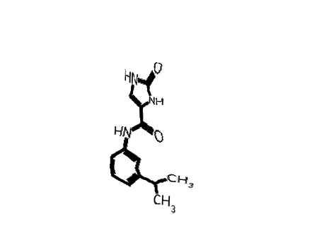 CC(C)c1cccc(NC(=O)c2c[nH]c(=O)[nH]2)c1